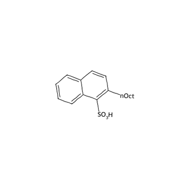 CCCCCCCCc1ccc2ccccc2c1S(=O)(=O)O